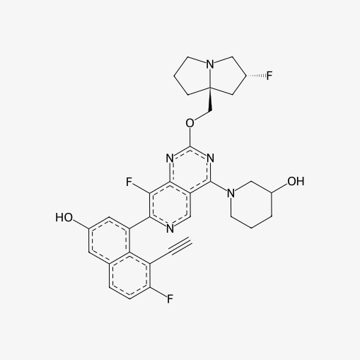 C#Cc1c(F)ccc2cc(O)cc(-c3ncc4c(N5CCCC(O)C5)nc(OC[C@@]56CCCN5C[C@H](F)C6)nc4c3F)c12